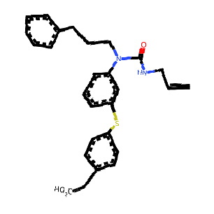 C=CCNC(=O)N(CCCc1ccccc1)c1cccc(Sc2ccc(CC(=O)O)cc2)c1